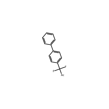 CC(=O)C(F)(F)c1ccc(-c2ccccc2)cc1